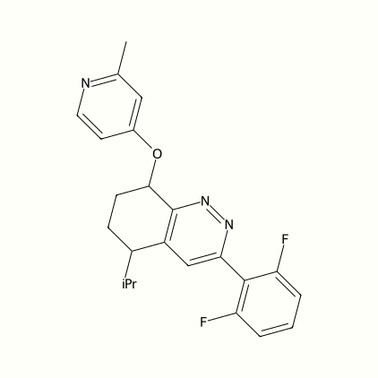 Cc1cc(OC2CCC(C(C)C)c3cc(-c4c(F)cccc4F)nnc32)ccn1